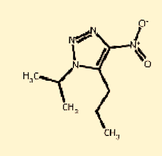 CCCc1c([N+](=O)[O-])nnn1C(C)C